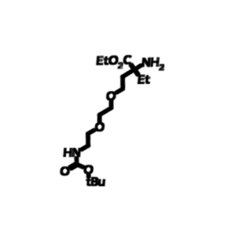 CCOC(=O)C(N)(CC)CCOCCOCCNC(=O)OC(C)(C)C